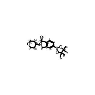 CC1(C)OB(c2ccc3c(c2)CN(C2CCOCC2)C3=O)OC1(C)C